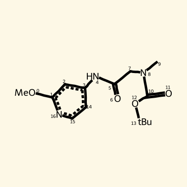 COc1cc(NC(=O)CN(C)C(=O)OC(C)(C)C)ccn1